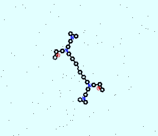 C1=Cc2c(oc3c(-c4ccc(N(c5ccc(-c6ccc(-c7ccc(CCc8ccc(-c9ccc(-c%10ccc(N(c%11ccc(-c%12ccc(-n%13c%14c(c%15ccccc%15%13)C=CCC%14)cc%12)cc%11)c%11ccc(-c%12cccc%13c%12oc%12ccccc%12%13)cc%11)cc%10)cc9)cc8)cc7)cc6)cc5)c5ccc(-c6ccc(-n7c8ccccc8c8ccccc87)cc6)cc5)cc4)cccc23)CC1